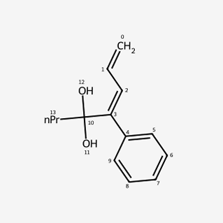 C=CC=C(c1ccccc1)C(O)(O)CCC